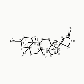 C[C@]12CCC(O)C[C@H]1CC[C@H]1[C@H]3CC[C@H](C4=CC(=O)OC4)[C@@]3(C)CC[C@@H]12